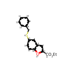 CCOC(=O)c1cc2cc(SCc3ccccc3)ccc2o1